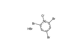 Br.[O-][n+]1c(Br)cc(Br)cc1Br